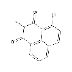 CN1C(=O)c2cccc3ccc(Cl)c(c23)C1=O